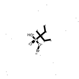 CCC(C)(CC)P(=O)(O)OBr